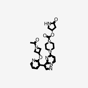 CC(=O)N1CC(Oc2ncccc2-c2cnn3ccc(N4CCN(C(=O)O[C@@H]5CNC(=O)C5)CC4)nc23)C1